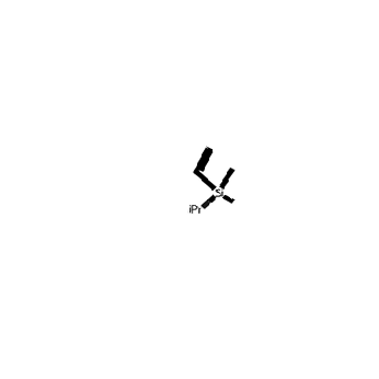 C=C[Si](C)(C)C(C)C